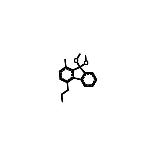 CCCc1ccc(C)c2c1-c1ccccc1C2(OC)OC